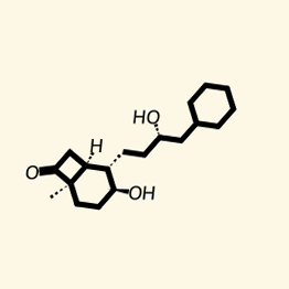 C[C@@]12CC[C@H](O)[C@@H](CC[C@H](O)CC3CCCCC3)[C@@H]1CC2=O